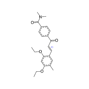 CCOc1cc(OCC)c(/C=C/C(=O)c2ccc(C(=O)N(C)C)cc2)cc1C